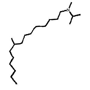 CCCCCCC(C)CCCCCCCCN(C)C(C)C